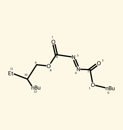 CCCCOC(=O)N=NC(=O)OCC(CC)CCCC